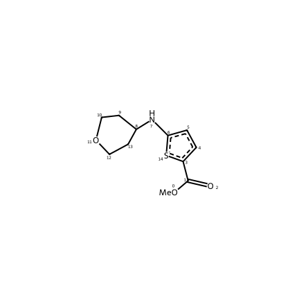 COC(=O)c1ccc(NC2CCOCC2)s1